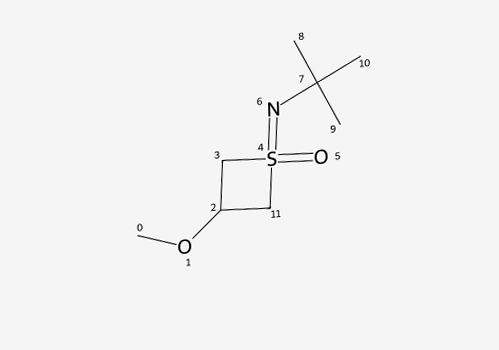 COC1CS(=O)(=NC(C)(C)C)C1